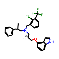 CC(CN(Cc1cccc(C(F)(F)F)c1Cl)C[C@@H](C)COc1cccc2[nH]ccc12)c1ccccc1